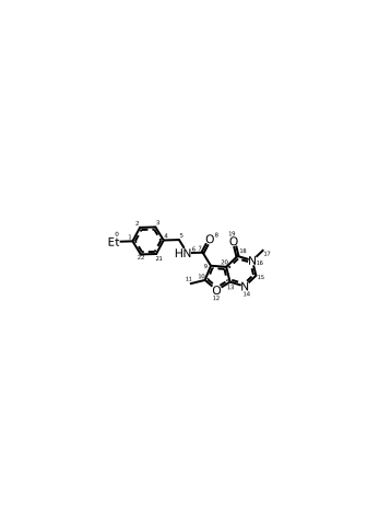 CCc1ccc(CNC(=O)c2c(C)oc3ncn(C)c(=O)c23)cc1